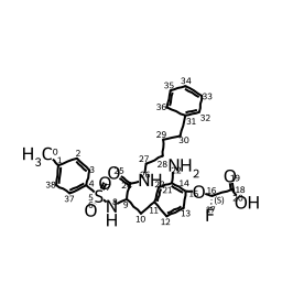 Cc1ccc(S(=O)(=O)NC(Cc2ccc(O[C@@H](F)C(=O)O)c(N)c2)C(=O)NCCCCc2ccccc2)cc1